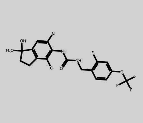 CC1(O)CCc2c1cc(Cl)c(NC(=O)NCc1ccc(OC(F)(F)F)cc1F)c2Cl